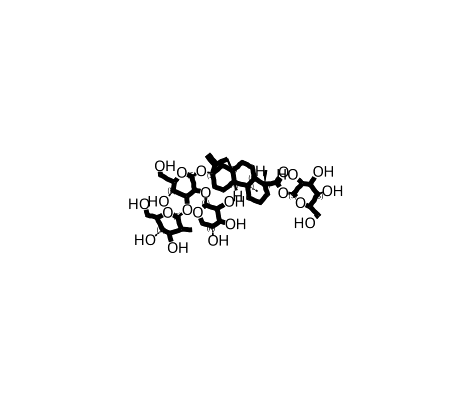 C=C1C[C@@]23CC[C@H]4[C@@](C)(CCC[C@@]4(C)C(=O)O[C@@H]4OC(CO)[C@@H](O)C(O)C4O)[C@@H]2CC[C@]1(O[C@@H]1OC(CO)[C@@H](O)C(O[C@@H]2OC(CO)[C@@H](O)C(O)C2C)C1O[C@@H]1OC[C@@H](O)C(O)C1O)C3